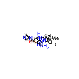 COc1c(C)cnc(CN2NC3CC(C(=O)Nc4ccncc4)Sc4nc(N)nc2c43)c1C